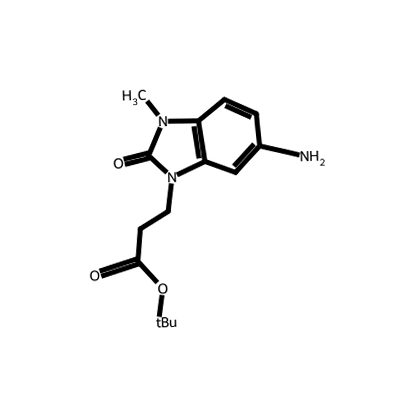 Cn1c(=O)n(CCC(=O)OC(C)(C)C)c2cc(N)ccc21